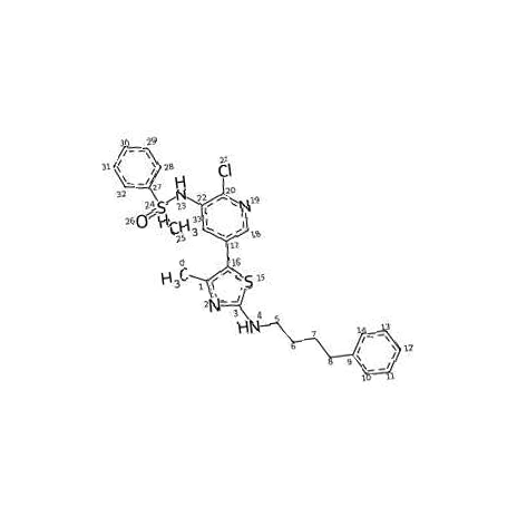 Cc1nc(NCCCCc2ccccc2)sc1-c1cnc(Cl)c(N[SH](C)(=O)c2ccccc2)c1